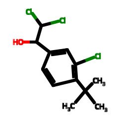 CC(C)(C)c1ccc(C(O)C(Cl)Cl)cc1Cl